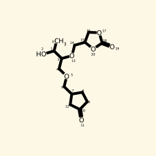 CC(O)C(COCC1CCC(=O)C1)OCC1COC(=O)O1